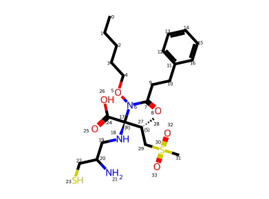 CCCCCON(C(=O)CCc1ccccc1)[C@@](NCC(N)CS)(C(=O)O)[C@H](C)CS(C)(=O)=O